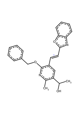 Cc1nc(OCc2ccccc2)c(/C=C/c2nc3ccccc3o2)cc1C(C)O